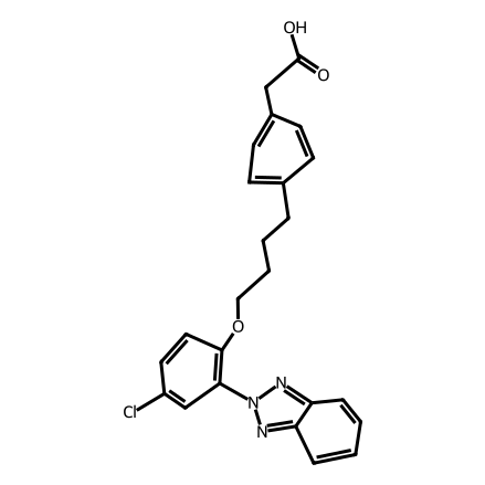 O=C(O)Cc1ccc(CCCCOc2ccc(Cl)cc2-n2nc3ccccc3n2)cc1